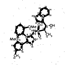 COc1cccc(OC)c1-n1c(NS(=O)(=O)[C@H](C)[C@@H](O)c2cnc3ccccn23)nnc1-c1ccc(C)o1